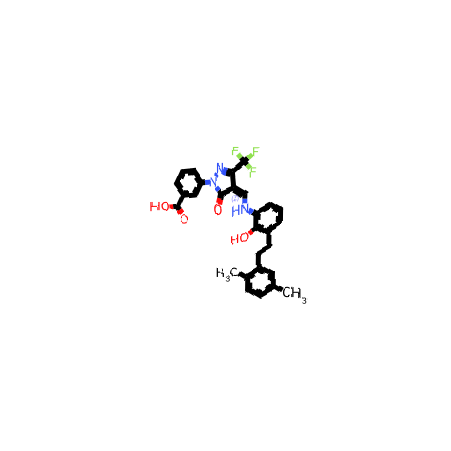 Cc1ccc(C)c(CCc2cccc(N/C=C3\C(=O)N(c4cccc(C(=O)O)c4)N=C3C(F)(F)F)c2O)c1